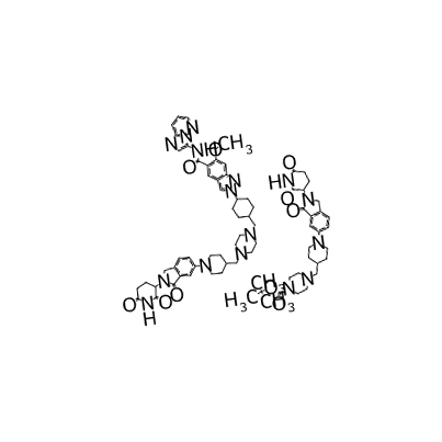 CC(C)(C)OC(=O)N1CCN(CC2CCN(c3ccc4c(c3)C(=O)N(C3CCC(=O)NC3=O)C4)CC2)CC1.COc1cc2nn(C3CCC(CN4CCN(CC5CCN(c6ccc7c(c6)C(=O)N(C6CCC(=O)NC6=O)C7)CC5)CC4)CC3)cc2cc1C(=O)Nc1cnc2cccnn12